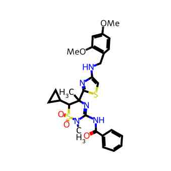 COc1ccc(CNc2csc(C3(C)N=C(NC(=O)c4ccccc4)N(C)S(=O)(=O)C3C3CC3)n2)c(OC)c1